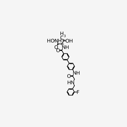 C[C@@H](O)[C@H](NC(=O)c1ccc(-c2ccc(NC(=O)CNCc3ccccc3F)cc2)cc1)C(=O)NO